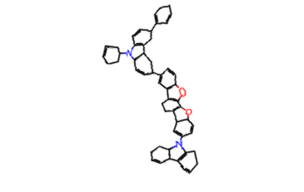 C1=CC(C2C=CC3=C(C2)C2CC(C4=CC5C6=C(OC5C=C4)C4=C(CC6)C5C=C(N6C7=C(C=CCC7)C7C=CCCC76)C=CC5O4)C=CC2N3C2CC=CCC2)=CCC1